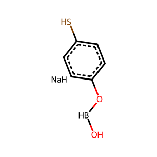 OBOc1ccc(S)cc1.[NaH]